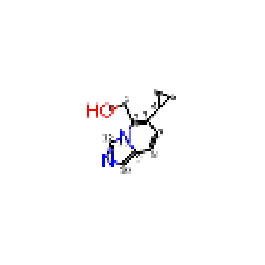 OCc1c(C2CC2)ccc2cncn12